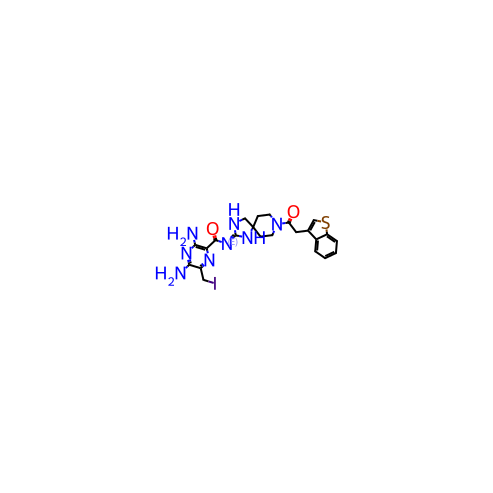 Nc1nc(N)c(C(=O)/N=C2\NCC3(CCN(C(=O)Cc4csc5ccccc45)CC3)N2)nc1CI